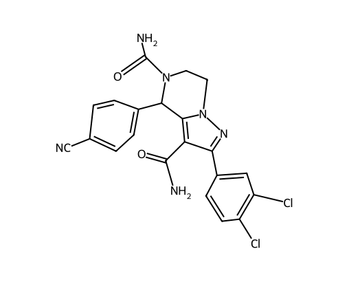 N#Cc1ccc(C2c3c(C(N)=O)c(-c4ccc(Cl)c(Cl)c4)nn3CCN2C(N)=O)cc1